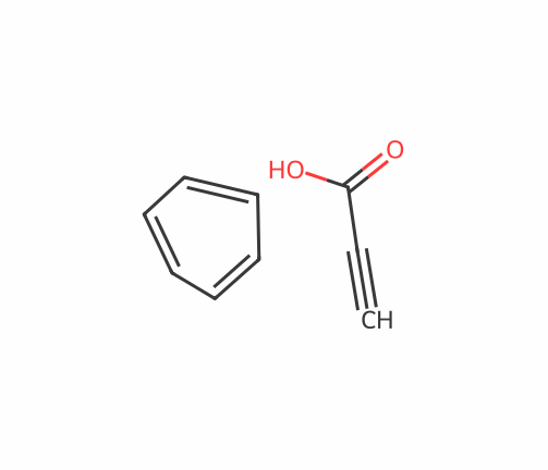 C#CC(=O)O.c1ccccc1